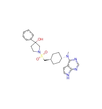 CN(c1ncnc2[nH]ccc12)[C@H]1CC[C@H](CS(=O)(=O)N2CCC(O)(c3ccccc3)C2)CC1